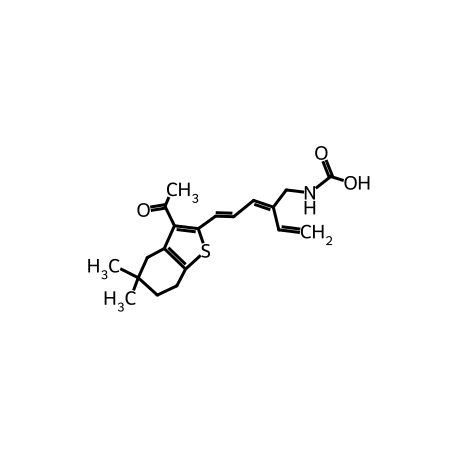 C=C/C(=C\C=C\c1sc2c(c1C(C)=O)CC(C)(C)CC2)CNC(=O)O